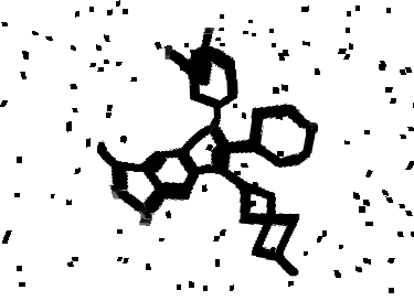 Cc1n[nH]c2cc3c(C4CC5(CC(C)C5)C4)c(C4CCOCC4)n(-c4ccc(F)c(F)c4)c3cc12